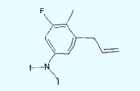 C=CCc1cc(N(I)I)cc(F)c1C